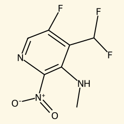 CNc1c([N+](=O)[O-])ncc(F)c1C(F)F